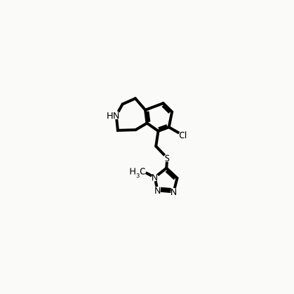 Cn1nncc1SCc1c(Cl)ccc2c1CCNCC2